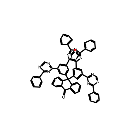 O=C1c2ccccc2C(c2cc(-c3ncnc(-c4ccccc4)n3)cc(-c3ncnc(-c4ccccc4)n3)c2)(c2cc(-c3ncnc(-c4ccccc4)n3)cc(-c3ncnc(-c4ccccc4)n3)c2)c2ccccc21